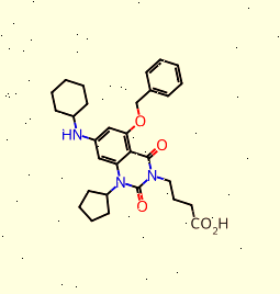 O=C(O)CCCn1c(=O)c2c(OCc3ccccc3)cc(NC3CCCCC3)cc2n(C2CCCC2)c1=O